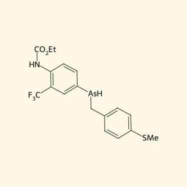 CCOC(=O)Nc1ccc([AsH]Cc2ccc(SC)cc2)cc1C(F)(F)F